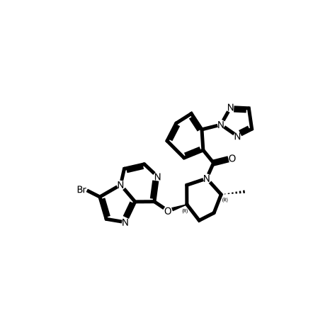 C[C@@H]1CC[C@@H](Oc2nccn3c(Br)cnc23)CN1C(=O)c1ccccc1-n1nccn1